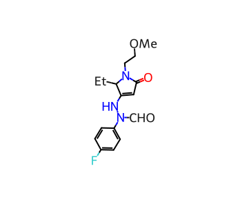 CCC1C(NN(C=O)c2ccc(F)cc2)=CC(=O)N1CCOC